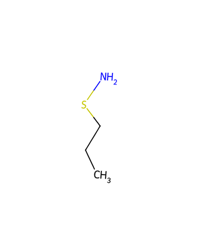 CCCSN